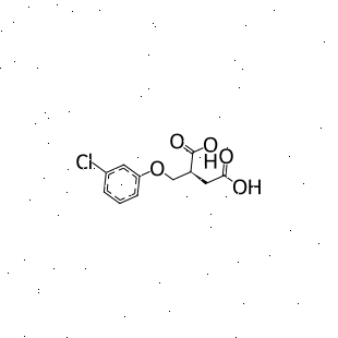 O=C(O)C[C@@H](COc1cccc(Cl)c1)C(=O)O